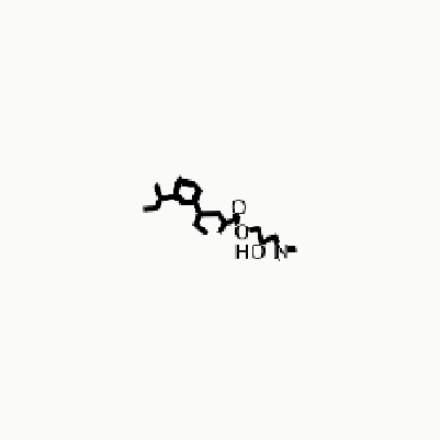 CCC(C)c1cccc(C(CC)CC(C)C(=O)OCC(O)CN(C)C)c1